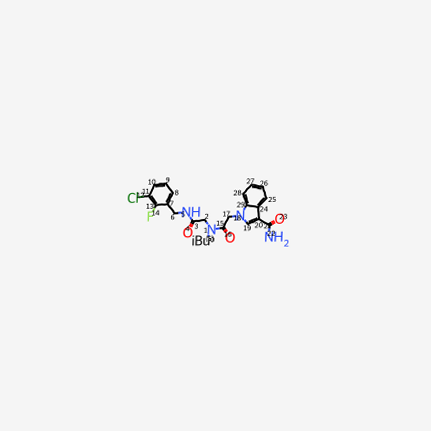 CC[C@H](C)N(CC(=O)NCc1cccc(Cl)c1F)C(=O)Cn1cc(C(N)=O)c2ccccc21